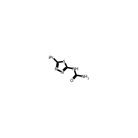 CC(C)c1nnc(NC(N)=O)s1